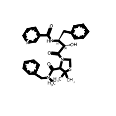 CN(Cc1ccccc1)C(=O)C1N(C(=O)[C@@H](O)[C@H](Cc2ccccc2)NC(=O)c2cccnc2)CSC1(C)C